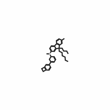 CCCCCCC1(CCCC)c2cc(C)ccc2-c2ccc(N(C)C3C=CC=C(c4ccc5c(c4)CC5)C3)cc21